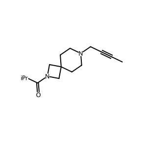 CC#CCN1CCC2(CC1)CN(C(=O)C(C)C)C2